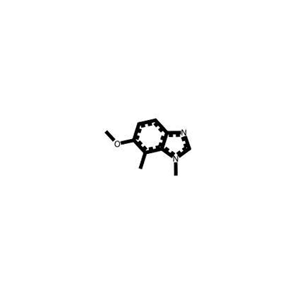 COc1ccc2ncn(C)c2c1C